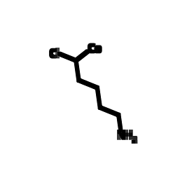 NCCCC[CH](Cl)[Co]